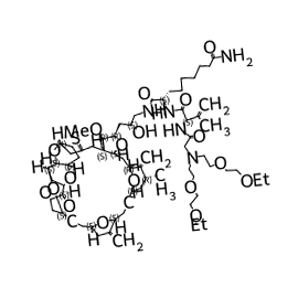 C=C(C)[C@H](NC(=O)CN(CCOCCOCC)CCOCCOCC)C(=O)N[C@@H](CCCCCCC(N)=O)C(=O)NC[C@@H](O)C[C@H]1O[C@H]2C[C@H]3O[C@@H](CC[C@@H]4O[C@@H](CC[C@@]56CC7OC8C(O[C@H]9CC[C@H](CC(=S)C[C@@H]2[C@H]1OC)O[C@@H]9[C@@H]8O5)[C@H]7O6)CC4=C)C[C@@H](C)C3=C